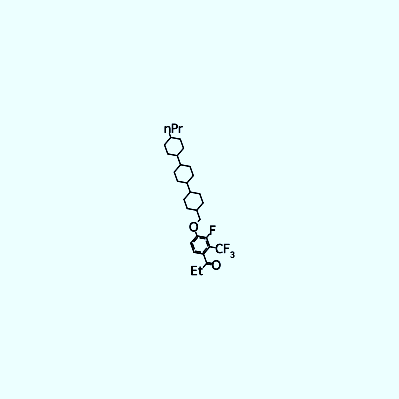 CCCC1CCC(C2CCC(C3CCC(COc4ccc(C(=O)CC)c(C(F)(F)F)c4F)CC3)CC2)CC1